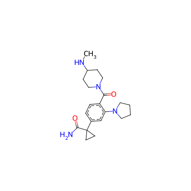 CNC1CCN(C(=O)c2ccc(C3(C(N)=O)CC3)cc2N2CCCC2)CC1